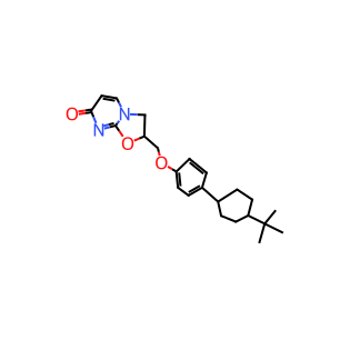 CC(C)(C)C1CCC(c2ccc(OCC3Cn4ccc(=O)nc4O3)cc2)CC1